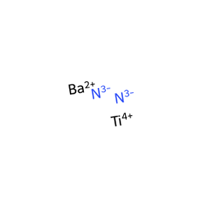 [Ba+2].[N-3].[N-3].[Ti+4]